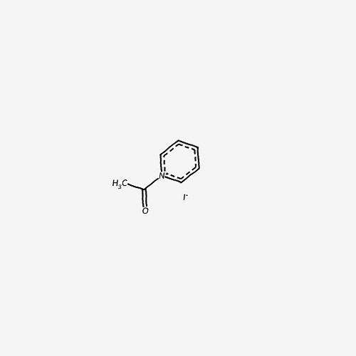 CC(=O)[n+]1ccccc1.[I-]